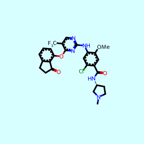 COc1cc(C(=O)N[C@@H]2CCN(C)C2)c(Cl)cc1Nc1ncc(C(F)(F)F)c(Oc2cccc3c2C(=O)CC3)n1